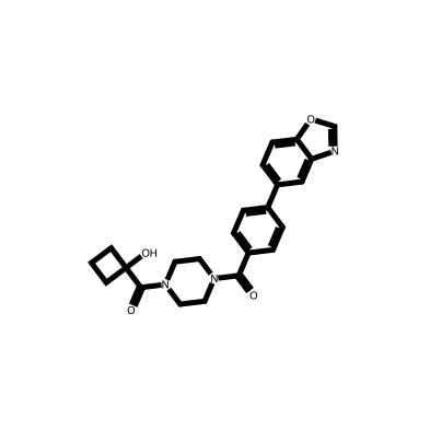 O=C(c1ccc(-c2ccc3ocnc3c2)cc1)N1CCN(C(=O)C2(O)CCC2)CC1